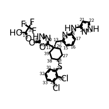 O=C(O)C(F)(F)F.O=c1[nH]nc([C@]2(Cc3cccc(Nc4cc[nH]n4)n3)CC[C@@H](Sc3cccc(Cl)c3Cl)CC2)o1